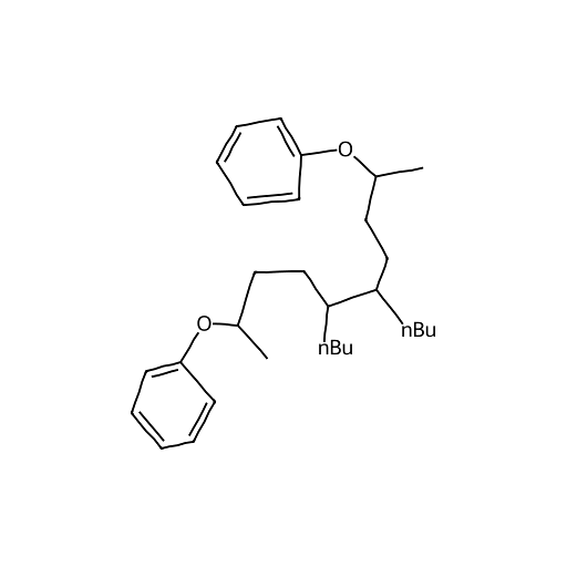 CCCCC(CCC(C)Oc1ccccc1)C(CCCC)CCC(C)Oc1ccccc1